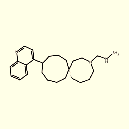 BNCN1CCCC[C@@]2(CCCCC(c3ccnc4ccccc34)CCC2)CC1